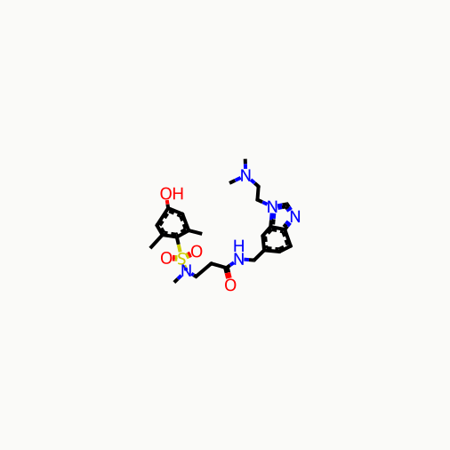 Cc1cc(O)cc(C)c1S(=O)(=O)N(C)CCC(=O)NCc1ccc2ncn(CCN(C)C)c2c1